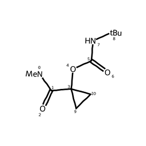 CNC(=O)C1(OC(=O)NC(C)(C)C)CC1